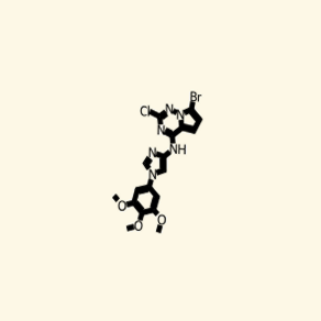 COc1cc(-n2cnc(Nc3nc(Cl)nn4c(Br)ccc34)c2)cc(OC)c1OC